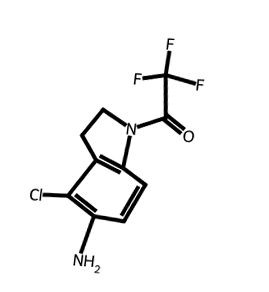 Nc1ccc2c(c1Cl)CCN2C(=O)C(F)(F)F